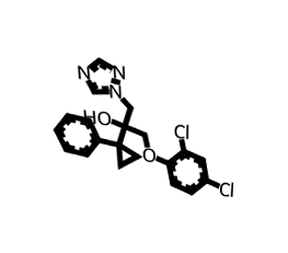 OC(COc1ccc(Cl)cc1Cl)(Cn1cncn1)C1(c2ccccc2)CC1